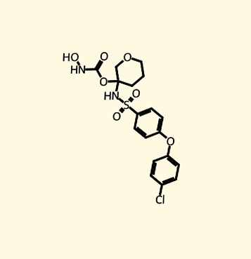 O=C(NO)OC1(NS(=O)(=O)c2ccc(Oc3ccc(Cl)cc3)cc2)CCCOC1